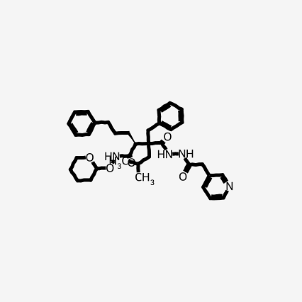 CC(C)CC(Cc1ccccc1)(C(=O)NNC(=O)Cc1cccnc1)[C@H](CCCc1ccccc1)C(=O)NOC1CCCCO1